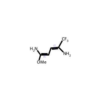 CO/C(N)=C/C=C(\N)C(F)(F)F